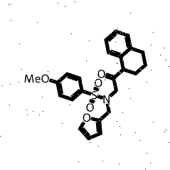 COc1ccc(S(=O)(=O)N(CC(=O)C2CCCc3ccccc32)Cc2ccco2)cc1